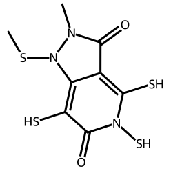 CSn1c2c(S)c(=O)n(S)c(S)c2c(=O)n1C